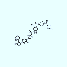 Cn1c(-c2ccc(-c3cn[nH]c3-c3ccccn3)c(F)c2F)cnc1C(=O)Nc1ccc(C(=O)N2CCN(C(=O)C3CC[N+](C)(C)CC3)CC2)c(Cl)c1